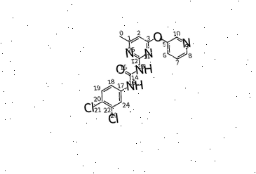 Cc1cc(Oc2cccnc2)nc(NC(=O)Nc2ccc(Cl)c(Cl)c2)n1